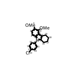 COc1ccc2c(c3c(n2-c2ccc(Cl)cc2)CCCC3)c1OC